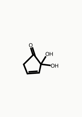 O=C1CC=CC1(O)O